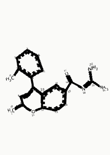 Cc1ccccc1C1=CC(C)Oc2ccc(C(=O)N=C(N)N)cc21